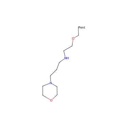 CCCC(C)COCCNCCCN1CCOCC1